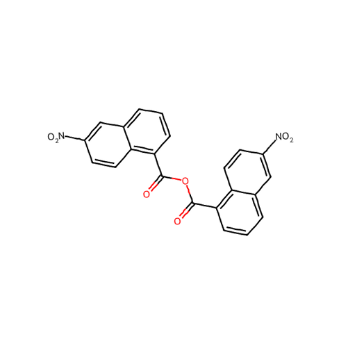 O=C(OC(=O)c1cccc2cc([N+](=O)[O-])ccc12)c1cccc2cc([N+](=O)[O-])ccc12